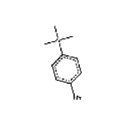 CCCc1ccc([Si](C)(C)C)cc1